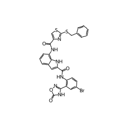 O=C(Nc1cccc2cc(C(=O)Nc3ccc(Br)cc3-c3noc(=O)[nH]3)[nH]c12)c1csc(SCc2ccccc2)n1